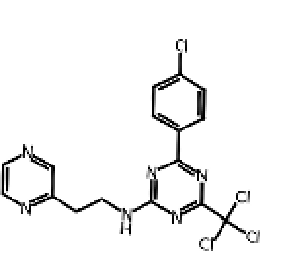 Clc1ccc(-c2nc(NCCc3cnccn3)nc(C(Cl)(Cl)Cl)n2)cc1